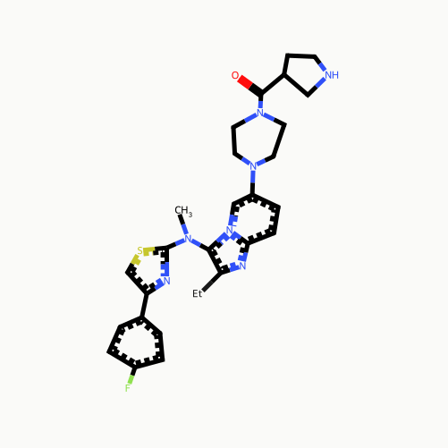 CCc1nc2ccc(N3CCN(C(=O)C4CCNC4)CC3)cn2c1N(C)c1nc(-c2ccc(F)cc2)cs1